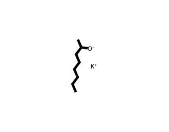 CCCCCCC(C)[O-].[K+]